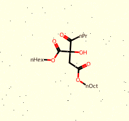 CCCCCCCCOC(=O)CC(O)(C(=O)CCC)C(=O)OCCCCCC